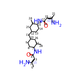 C/C(N)=C/C(=O)NC1CCC(CC2CCC(NC(=O)/C=C(/C)N)C(C)C2)CC1C